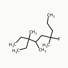 CCCC(C)(F)CC(C)C(C)(CC)CC